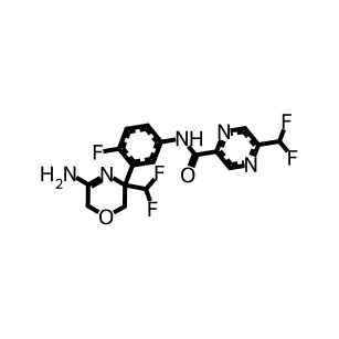 NC1=NC(c2cc(NC(=O)c3cnc(C(F)F)cn3)ccc2F)(C(F)F)COC1